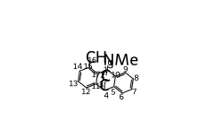 CNC12CCC(c3ccccc31)c1cccc(C)c12